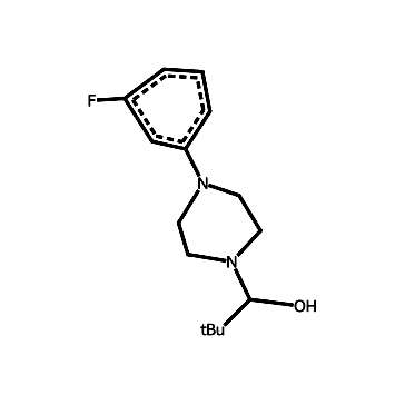 CC(C)(C)C(O)N1CCN(c2cccc(F)c2)CC1